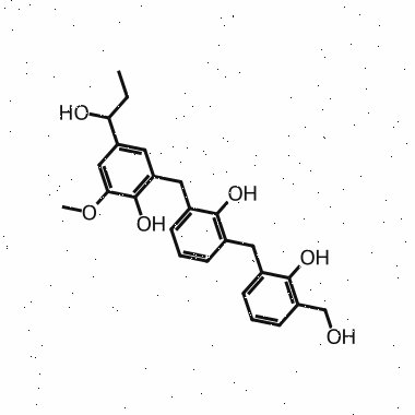 CCC(O)c1cc(Cc2cccc(Cc3cccc(CO)c3O)c2O)c(O)c(OC)c1